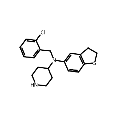 Clc1ccccc1CN(c1ccc2c(c1)CCS2)C1CCNCC1